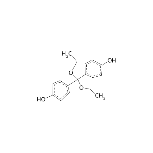 CCOC(OCC)(c1ccc(O)cc1)c1ccc(O)cc1